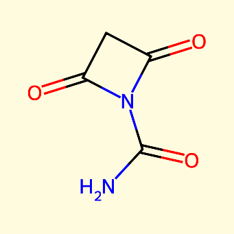 NC(=O)N1C(=O)CC1=O